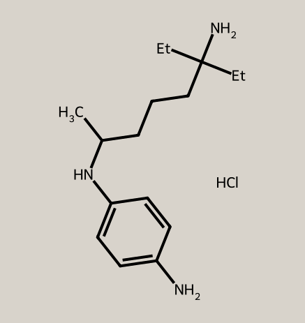 CCC(N)(CC)CCCC(C)Nc1ccc(N)cc1.Cl